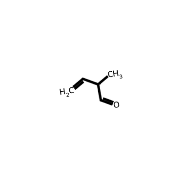 C=C[C](C)C=O